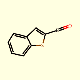 O=Bc1cc2ccccc2s1